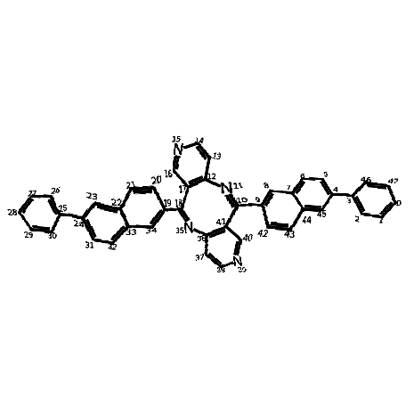 c1ccc(-c2ccc3cc(/C4=N/c5ccncc5/C(c5ccc6cc(-c7ccccc7)ccc6c5)=N\c5ccncc54)ccc3c2)cc1